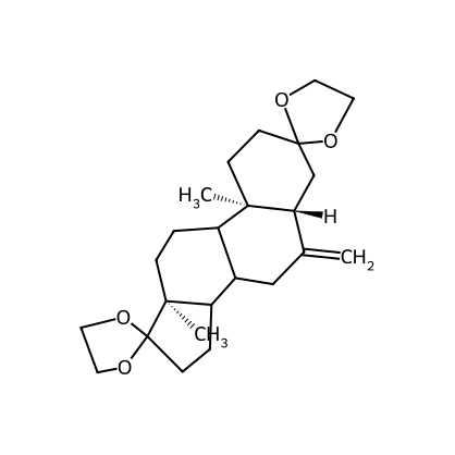 C=C1CC2C3CCC4(OCCO4)[C@@]3(C)CCC2[C@@]2(C)CCC3(C[C@H]12)OCCO3